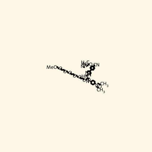 COCCOCCOCCOCCOCCOCCOc1nn(C2CCC(N3C[C@@H](C)O[C@@H](C)C3)CC2)cc1Nc1ncc(-c2ccc(C#N)c(O[C@@H](C)Cn3cncn3)c2)cn1